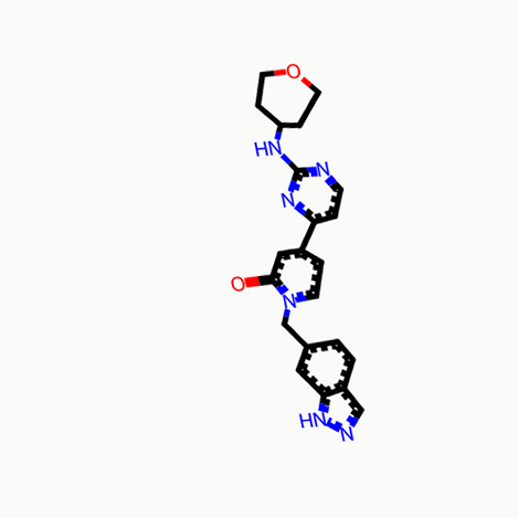 O=c1cc(-c2ccnc(NC3CCOCC3)n2)ccn1Cc1ccc2cn[nH]c2c1